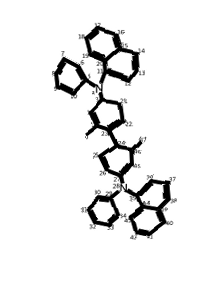 CC1=CC(N(c2ccccc2)c2cccc3ccccc23)CC=C1C1C=CC(N(c2ccccc2)c2cccc3ccccc23)=CC1C